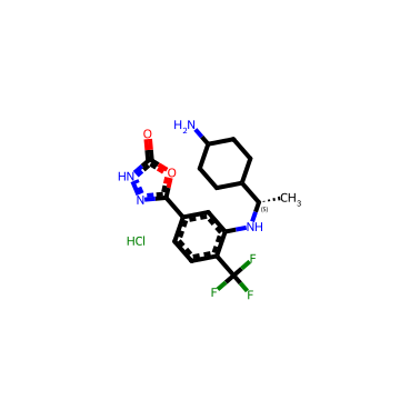 C[C@H](Nc1cc(-c2n[nH]c(=O)o2)ccc1C(F)(F)F)C1CCC(N)CC1.Cl